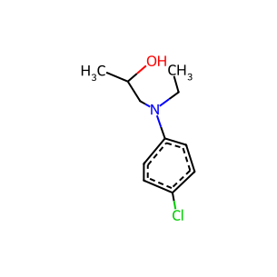 CCN(CC(C)O)c1ccc(Cl)cc1